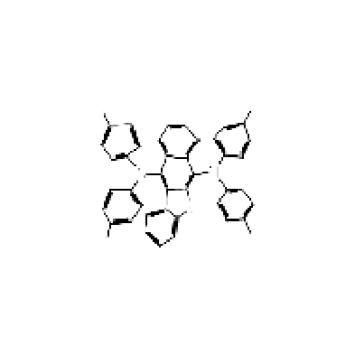 Cc1ccc(N(c2ccc(C)cc2)c2c3ccccc3c(N(c3ccc(C)cc3)c3ccc(C)cc3)c3c2sc2ccccc23)cc1